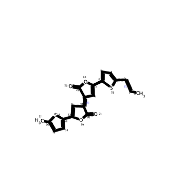 C/C=C/c1ccc(C2=C/C(=C3/C=C(c4ccc(C)s4)OC3=O)C(=O)O2)s1